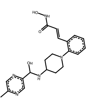 Cc1cnc(C(O)NC2CCN(c3ccccc3/C=C/C(=O)NO)CC2)cn1